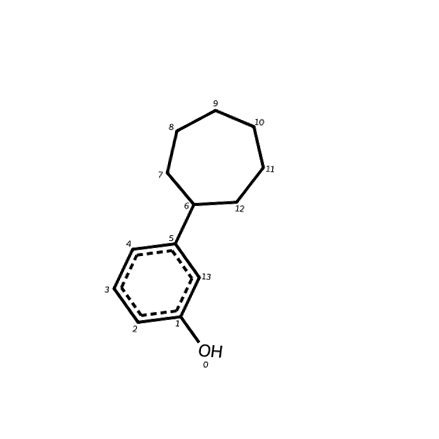 Oc1cccc(C2CCCCCC2)c1